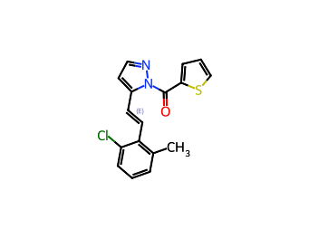 Cc1cccc(Cl)c1/C=C/c1ccnn1C(=O)c1cccs1